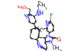 CCNc1cc(-c2ccc3ncc4c(c3c2)n(-c2ccc(F)nc2C)c(=O)n4C)cnc1CO